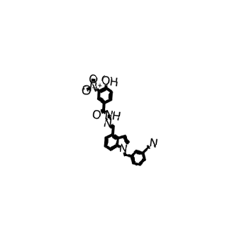 N#Cc1cccc(Cn2ccc3c(/C=N/NC(=O)c4ccc(O)c([N+](=O)[O-])c4)cccc32)c1